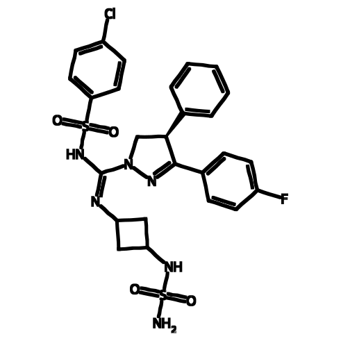 NS(=O)(=O)NC1CC(/N=C(/NS(=O)(=O)c2ccc(Cl)cc2)N2C[C@@H](c3ccccc3)C(c3ccc(F)cc3)=N2)C1